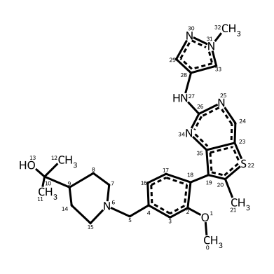 COc1cc(CN2CCC(C(C)(C)O)CC2)ccc1-c1c(C)sc2cnc(Nc3cnn(C)c3)nc12